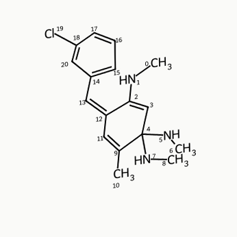 CNC1=CC(NC)(NC)C(C)=CC1=Cc1cccc(Cl)c1